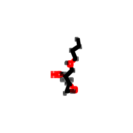 CCCCOC[C@H](O)[C@@H]1CO1